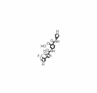 Cl.Cn1c(-c2c[nH]nc2C(F)(F)F)cnc1C(=O)Nc1ccc(C(=O)NC2C3CNCC32)c(Cl)c1